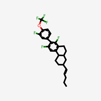 CCCC=CC1CCC2c3cc(F)c(-c4ccc(OC(F)(F)F)c(F)c4)c(F)c3CCC2C1